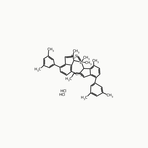 CCC1=Cc2c(-c3cc(C)cc(C)c3)ccc(C)c2[CH]1[Zr]([CH3])([CH3])(=[SiH2])[CH]1C(C)=Cc2c(-c3cc(C)cc(C)c3)ccc(C)c21.Cl.Cl